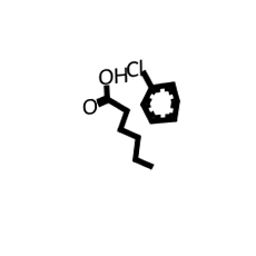 CCCCCC(=O)O.Clc1ccccc1